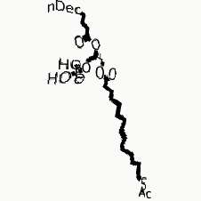 CCCCCCCCCCCCCC(=O)O[C@H](COC(=O)CCCCCCCCCCCCCSC(C)=O)COP(=O)(O)O